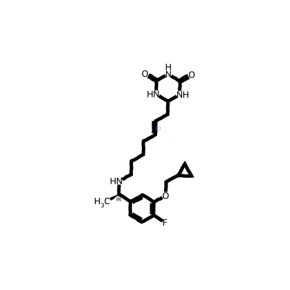 C[C@@H](NCCCC/C=C/CC1NC(=O)NC(=O)N1)c1ccc(F)c(OCC2CC2)c1